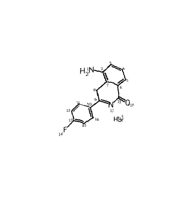 Br.Nc1cccc2c1CC(c1ccc(F)cc1)=NC2=O